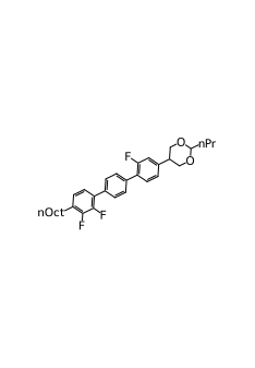 CCCCCCCCc1ccc(-c2ccc(-c3ccc(C4COC(CCC)OC4)cc3F)cc2)c(F)c1F